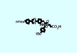 CCCCCCc1ccc(-c2cnc(-c3ccc(C[C@H](NC(=O)c4ccc(C(C)(C)C)cc4)C(=O)NCCC(=O)O)cc3)nc2)cc1